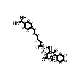 N=C(N)c1ccc(CCCCCC(=O)NC[C@H](NS(=O)(=O)c2ccccc2)C(=O)O)cc1